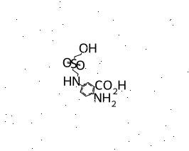 Nc1ccc(NCCS(=O)(=O)CCO)cc1C(=O)O